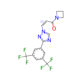 O=C(/C=C\n1cnc(-c2cc(C(F)(F)F)cc(C(F)(F)F)c2)n1)N1CCC1